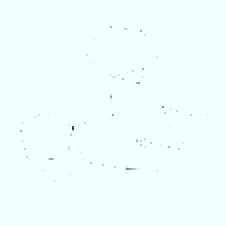 C1CC2(OC34CCC(CC3C35OC3O5)C4)CC1CC2C12OC1O2